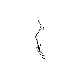 CO[CH2][Al]=[O]